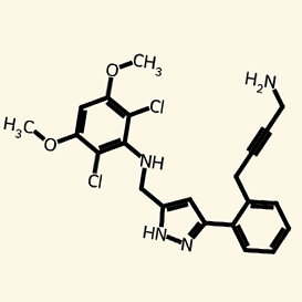 COc1cc(OC)c(Cl)c(NCc2cc(-c3ccccc3CC#CCN)n[nH]2)c1Cl